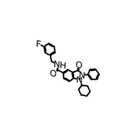 O=C(NCc1cccc(F)c1)c1ccc2c(c1)c(=O)n(-c1ccccc1)n2C1CCCCC1